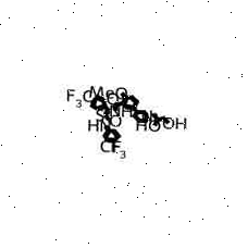 COc1ccc(C2CCCN(CC(O)CO)C2)cc1C(=O)Nc1c(C(=O)Nc2ccc(F)c(C(F)(F)F)c2)sc2cc(C(F)(F)F)ccc12